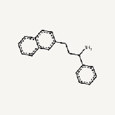 NC(C[CH]c1ccc2ccccc2c1)c1ccccc1